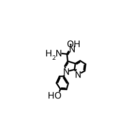 NC(=NO)c1cn(-c2ccc(O)cc2)c2ncccc12